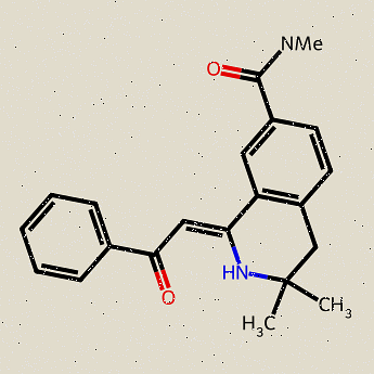 CNC(=O)c1ccc2c(c1)/C(=C/C(=O)c1ccccc1)NC(C)(C)C2